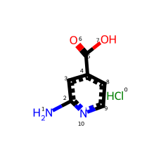 Cl.Nc1cc(C(=O)O)ccn1